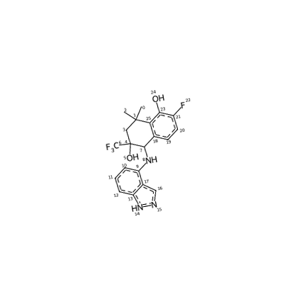 CC1(C)CC(O)(C(F)(F)F)C(Nc2cccc3[nH]ncc23)c2ccc(F)c(O)c21